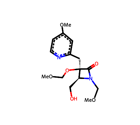 COCO[C@@]1(Cc2cc(OC)ccn2)C(=O)N(COC)[C@H]1CO